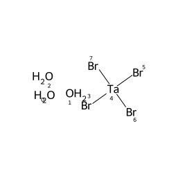 O.O.O.[Br][Ta]([Br])([Br])[Br]